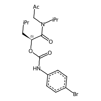 CC(=O)CN(C(=O)[C@H](CC(C)C)OC(=O)Nc1ccc(Br)cc1)C(C)C